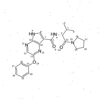 CC(C)[C@@H](NC(=O)c1c[nH]c2ncc(Oc3ccccc3)nc12)C(=O)N1CCCC1